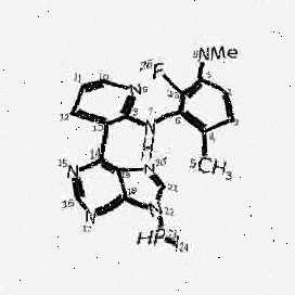 CNc1ccc(C)c(Nc2ncccc2-c2ncnc3c2ncn3PI)c1F